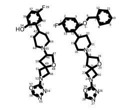 Fc1ccc(OCc2ccccc2)c(C2CCN(C3COC4(C3)CN(c3nnco3)C4)CC2)c1.Oc1ccc(F)cc1C1CCN(C2COC3(C2)CN(c2nnco2)C3)CC1